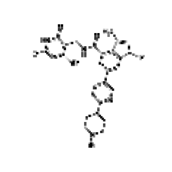 CCCc1cc(C)[nH]c(=O)c1CNC(=O)c1cc(-c2ccc(N3CCN(C(C)C)CC3)nc2)cc2c1C(C)=CC2C(C)C